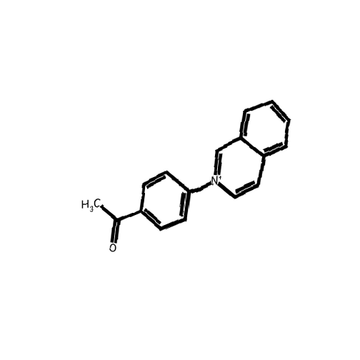 CC(=O)c1ccc(-[n+]2ccc3ccccc3c2)cc1